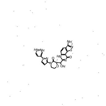 C[C@]1(C(O)c2nc(=O)c3c(ccc4c(N)nsc43)[nH]2)OCCN(c2ccn(C3=CNNC=C3)n2)C1=O